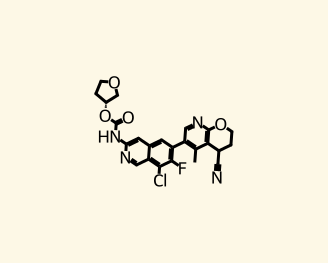 Cc1c(-c2cc3cc(NC(=O)O[C@@H]4CCOC4)ncc3c(Cl)c2F)cnc2c1C(C#N)CCO2